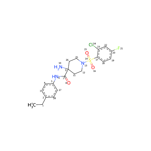 CCc1ccc(NC(=O)C2(N)CCN(S(=O)(=O)c3ccc(F)cc3Cl)CC2)cc1